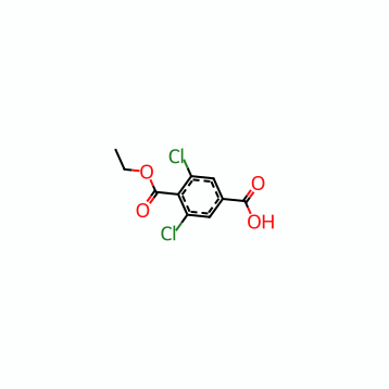 CCOC(=O)c1c(Cl)cc(C(=O)O)cc1Cl